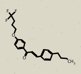 CCCCc1ccc(/C=C/C(=O)c2ccc(OCCCC(F)(F)F)cc2)cc1